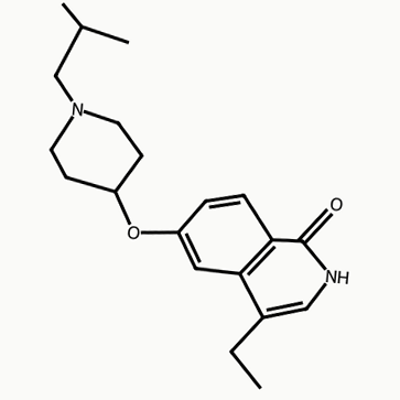 CCc1c[nH]c(=O)c2ccc(OC3CCN(CC(C)C)CC3)cc12